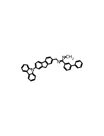 C=N/C(=N\Cc1ccc2c(c1)Cc1cc(-n3c4ccccc4c4ccccc43)ccc1-2)c1cccc(-c2ccccc2)c1